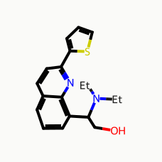 CCN(CC)C(CO)c1cccc2ccc(-c3cccs3)nc12